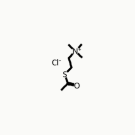 CC(=O)SCC[N+](C)(C)C.[Cl-]